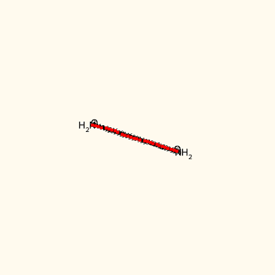 NC(=O)CCCCCCCCCCCCCCCCCCCCCCCCCCCCCCCCCCCCCCCCCCCCCCCCCCCCCCCC(N)=O